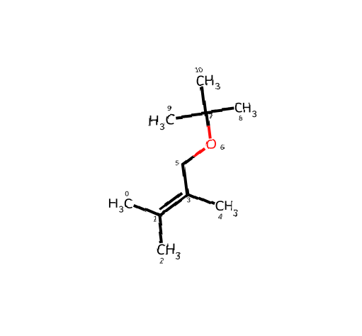 CC(C)=C(C)COC(C)(C)C